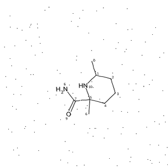 CC1CCCC(C)(C(N)=O)N1